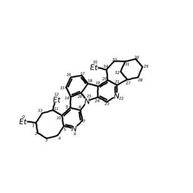 CCC1CCCc2ncc3c(c2C(CC)C1)c1cccc2c4c5c(ncc4n3c12)C1CCCC(C1)CC5CC